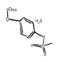 CCCCCCCCOc1ccc(OS(C)(=O)=O)cc1.S